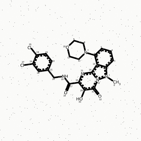 Cn1c2cccc(N3CCOCC3)c2c2nc(C(=O)NCc3ccc(Cl)c(Cl)c3)c(O)c(=O)n21